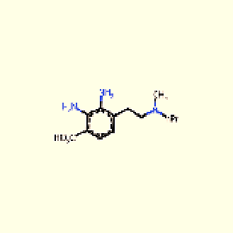 CCCN(C)CCc1ccc(C(=O)O)c(N)c1N